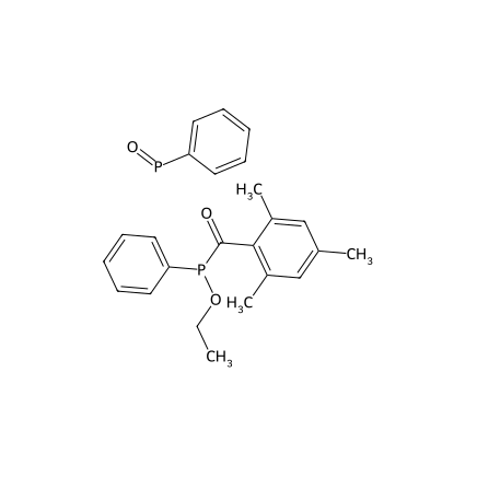 CCOP(C(=O)c1c(C)cc(C)cc1C)c1ccccc1.O=Pc1ccccc1